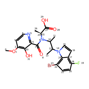 COc1ccnc(C(=O)N(C(C)C(C)n2ccc3c(F)ccc(Br)c32)[C@@H](C)C(=O)O)c1O